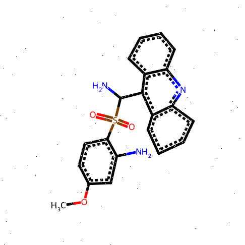 COc1ccc(S(=O)(=O)C(N)c2c3ccccc3nc3ccccc23)c(N)c1